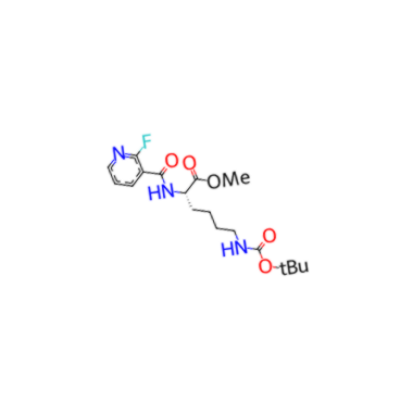 COC(=O)[C@H](CCCCNC(=O)OC(C)(C)C)NC(=O)c1cccnc1F